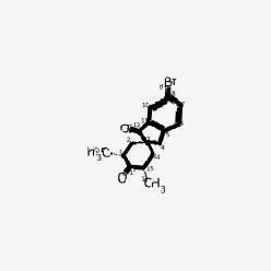 C[C@@H]1C[C@@]2(Cc3ccc(Br)cc3C2=O)C[C@H](C)C1=O